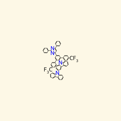 FC(F)(F)c1ccc(-c2cc(-c3cc(-c4ccccc4)nc(-c4ccccc4)n3)cc(-c3ccc(C(F)(F)F)cc3)c2-n2c3ccccc3c3cc(-n4c5ccccc5c5ccccc54)ccc32)cc1